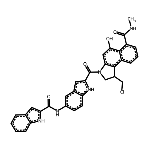 CNC(=O)c1cccc2c3c(cc(O)c12)N(C(=O)c1cc2cc(NC(=O)c4cc5ccccc5[nH]4)ccc2[nH]1)CC3CCl